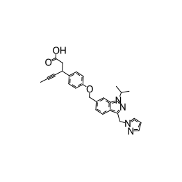 CC#CC(CC(=O)O)c1ccc(OCc2ccc3c(Cn4cccn4)nn(C(C)C)c3c2)cc1